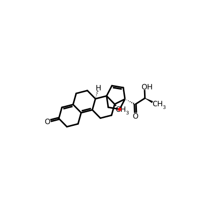 C[C@H](O)C(=O)[C@]12C=CC3(CC1)[C@@H]1CCC4=CC(=O)CCC4=C1CC[C@@]32C